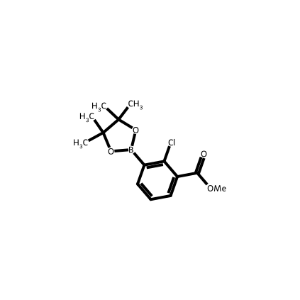 COC(=O)c1cccc(B2OC(C)(C)C(C)(C)O2)c1Cl